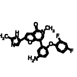 Cc1ncc(-c2cc3c(=O)n(C)cc(-c4cc(N)ccc4Oc4ccc(F)cc4F)c3o2)[nH]1